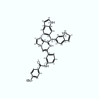 CC(C)(C)c1ccc(C(=O)Nc2cccc(-c3cn4ccnc4c(N(c4ccc5cc[nH]c5c4)c4ccc5cc[nH]c5c4)n3)c2)cc1